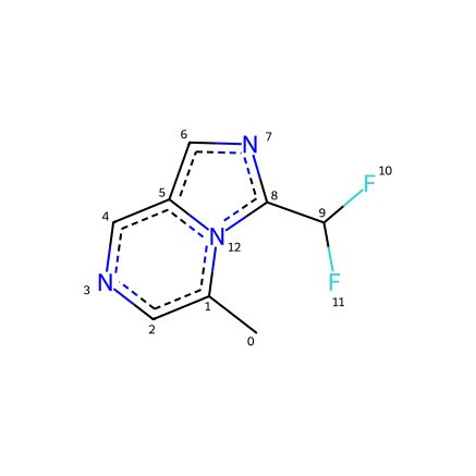 Cc1cncc2cnc(C(F)F)n12